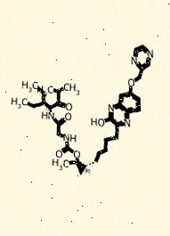 CCC(CC)[C@H](NC(=O)CNC(=O)OC1(C)C[C@H]1CCCCCc1nc2ccc(OCc3cnccn3)cc2nc1O)C(=O)C(C)C